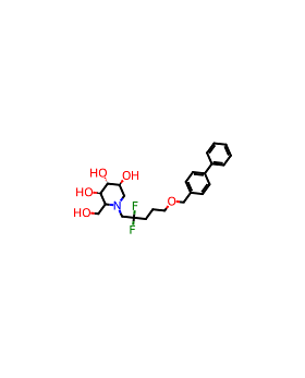 OCC1[C@@H](O)[C@H](O)[C@@H](O)CN1CC(F)(F)CCCOCc1ccc(-c2ccccc2)cc1